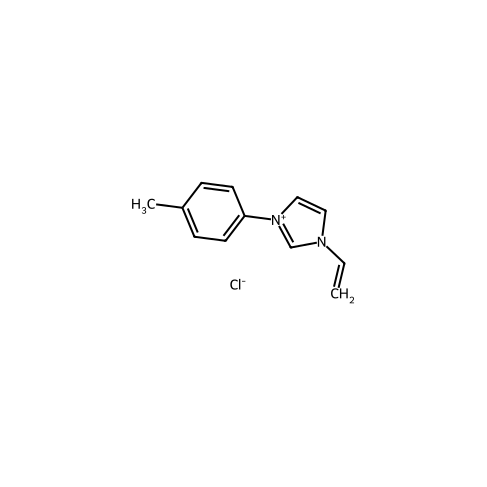 C=Cn1cc[n+](-c2ccc(C)cc2)c1.[Cl-]